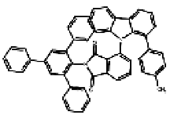 Cc1ccc(-c2cccc3c4ccccc4n(-c4cccc5c4C(=O)N(c4c(-c6ccccc6)cc(-c6ccccc6)cc4-c4ccccc4)C5=O)c23)cc1